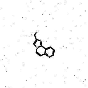 ClCc1cn2ccc3ncccc3c2n1